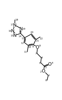 CCOC(=O)CCCOc1c(C)cc(-c2nnn(C)n2)cc1C